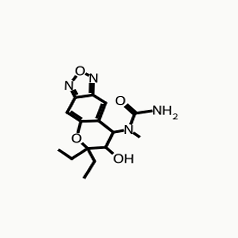 CCC1(CC)Oc2cc3nonc3cc2C(N(C)C(N)=O)C1O